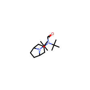 CC(C)(C)N(C=O)C1CC2CCC(C1)N2C(C)(C)C